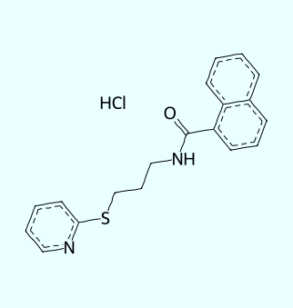 Cl.O=C(NCCCSc1ccccn1)c1cccc2ccccc12